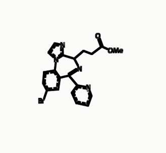 COC(=O)CCC1N=C(c2ccccn2)c2cc(Br)ccc2-n2ccnc21